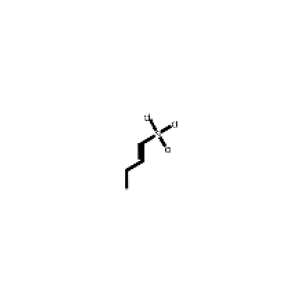 CCC=C[Si](Cl)(Cl)Cl